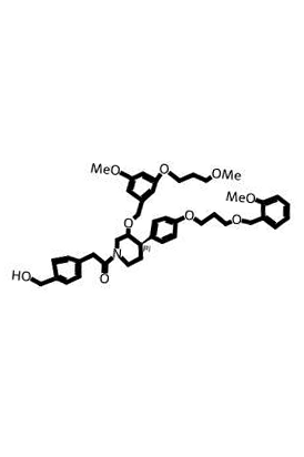 COCCCOc1cc(COC2CN(C(=O)Cc3ccc(CO)cc3)CC[C@@H]2c2ccc(OCCCOCc3ccccc3OC)cc2)cc(OC)c1